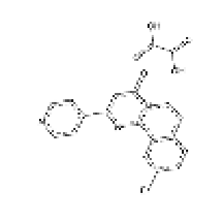 O=C(O)C(=O)O.O=c1cc(-c2ccncc2)nc2c3cc(Br)ccc3ccn12